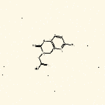 O=C(O)CN1Cc2nc(Cl)ccc2NC1=O